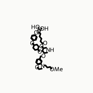 COCCCN1CCOc2ccc(COC3CNCC(OC(=O)CCCCON(O)O)C3OC3CCC(Oc4ccc(Cl)cc4)CC3)cc21